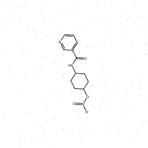 O=C(NC1CCC(O[N+](=O)[O-])CC1)c1cccnc1